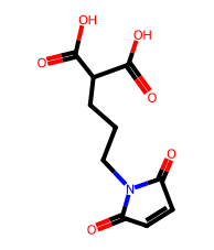 O=C(O)C(CCCN1C(=O)C=CC1=O)C(=O)O